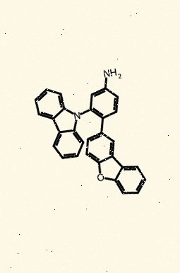 Nc1ccc(-c2ccc3oc4ccccc4c3c2)c(-n2c3ccccc3c3ccccc32)c1